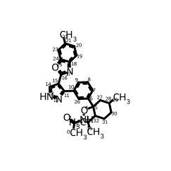 CC(=O)NOC1(c2cccc(-c3n[nH]cc3-c3nc4ccc(C)cc4o3)c2)CC(C)CCC1C(C)C